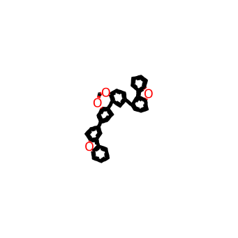 c1ccc2c(c1)oc1ccc(-c3ccc4c(c3)OCOc3ccc(-c5cccc6oc7ccccc7c56)cc3-4)cc12